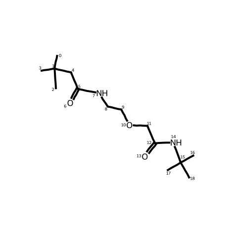 CC(C)(C)CC(=O)NCCOCC(=O)NC(C)(C)C